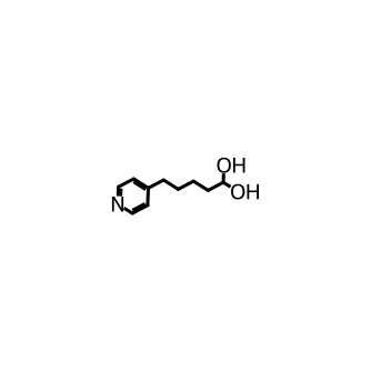 OC(O)CCCCc1ccncc1